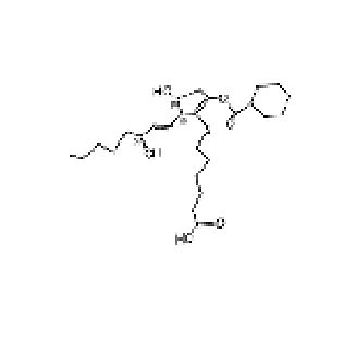 CCCCC[C@H](O)C=C[C@@H]1C(SCCCCCC(=O)O)=C(OC(=O)C2CCCCC2)C[C@H]1O